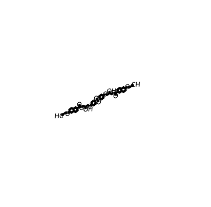 C#CCOc1ccc2cc(C(=O)OCC(O)COc3ccc(S(=O)(=O)c4ccc(OCC(O)COC(=O)c5ccc6cc(OCC#C)ccc6c5)cc4)cc3)ccc2c1